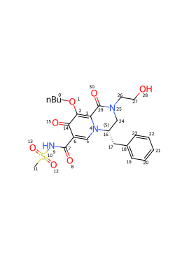 CCCCOc1c2n(cc(C(=O)NS(C)(=O)=O)c1=O)[C@@H](Cc1ccccc1)CN(CCO)C2=O